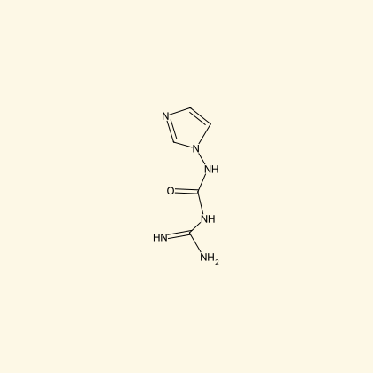 N=C(N)NC(=O)Nn1ccnc1